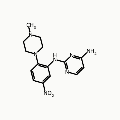 CN1CCN(c2ccc([N+](=O)[O-])cc2Nc2nccc(N)n2)CC1